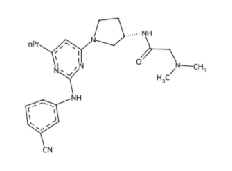 CCCc1cc(N2CC[C@H](NC(=O)CN(C)C)C2)nc(Nc2cccc(C#N)c2)n1